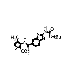 Cc1csc(C(=O)O)c1NC(=O)c1ccc2nc(NC(=O)OC(C)(C)C)sc2c1